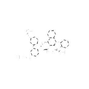 COc1ccc(C2(c3ccc(OC)cc3)C=Cc3c4c(c5ccccc5c3O2)-c2ccccc2S4(C)C)cc1